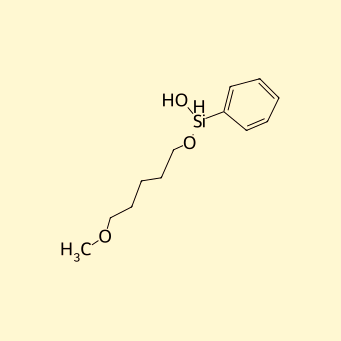 COCCCCCO[SiH](O)c1ccccc1